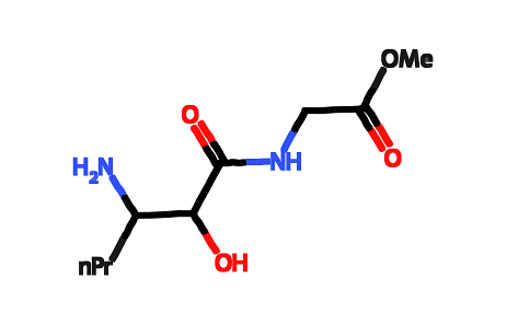 CCCC(N)C(O)C(=O)NCC(=O)OC